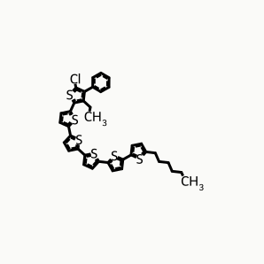 CCCCCCc1ccc(-c2ccc(-c3ccc(-c4ccc(-c5ccc(-c6sc(Cl)c(-c7ccccc7)c6CC)s5)s4)s3)s2)s1